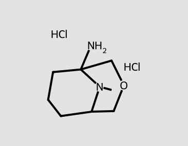 CN1C2CCCC1(N)COC2.Cl.Cl